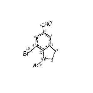 CC(=O)N1CCc2cc(C=O)cc(Br)c21